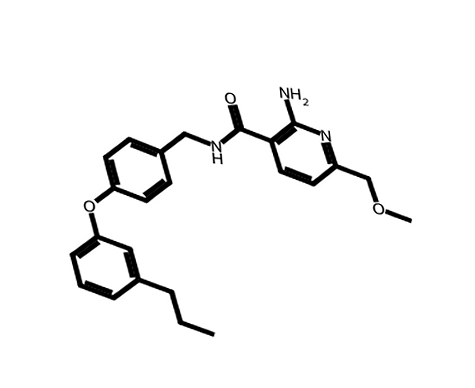 CCCc1cccc(Oc2ccc(CNC(=O)c3ccc(COC)nc3N)cc2)c1